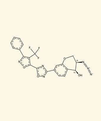 [N-]=[N+]=N[C@@H]1COc2cc(-c3noc(-c4onc(-c5ccccc5)c4C(F)(F)F)n3)ccc2[C@@H]1O